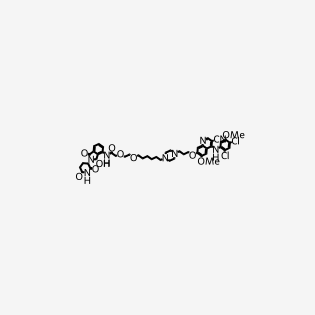 COc1cc(Nc2c(C#N)cnc3cc(OCCCN4CCN(CCCCCCOCCOCC(=O)Nc5cccc6c5C(O)N(C5CCC(=O)NC5=O)C6=O)CC4)c(OC)cc23)c(Cl)cc1Cl